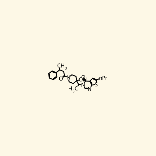 CCCc1cc2c(=O)n(C(C)C3(O)CCN(C(=O)CC(C)c4ccccc4)CC3)cnc2s1